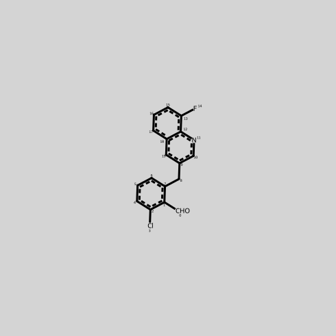 O=Cc1c(Cl)cccc1Cc1cnc2c(F)cccc2c1